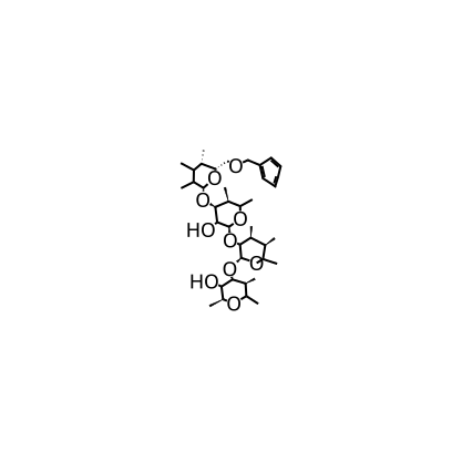 CC1C(C)[C@H](C)[C@H](COCc2ccccc2)O[C@@H]1O[C@@H]1C(O)[C@H](OC2[C@H](O[C@@H]3C(O)[C@H](C)OC(C)[C@@H]3C)OC(C)[C@H](C)[C@@H]2C)OC(C)[C@@H]1C